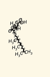 CC(C)=CCC/C(C)=C/CC/C(C)=C/CSCC(NC(=O)/C=C(\C)C(=O)O)C(=O)O